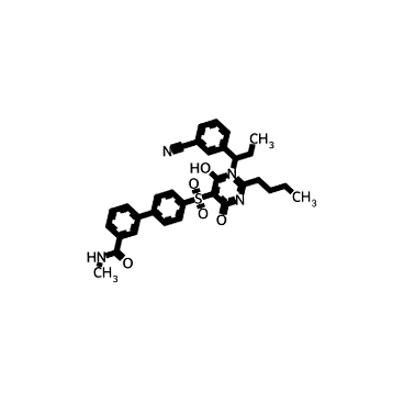 CCCCc1nc(=O)c(S(=O)(=O)c2ccc(-c3cccc(C(=O)NC)c3)cc2)c(O)n1C(CC)c1cccc(C#N)c1